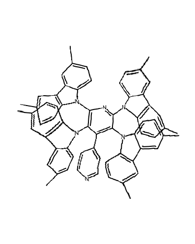 Cc1ccc2c(c1)c1cc(C)ccc1n2-c1nc(-n2c3ccc(C)cc3c3cc(C)ccc32)c(-n2c3ccc(C)cc3c3cc(C)ccc32)c(-c2ccncc2)c1-n1c2ccc(C)cc2c2cc(C)ccc21